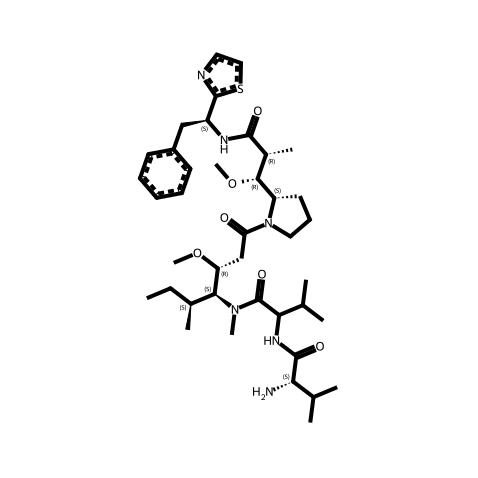 CC[C@H](C)[C@@H]([C@@H](CC(=O)N1CCC[C@H]1[C@H](OC)[C@@H](C)C(=O)N[C@@H](Cc1ccccc1)c1nccs1)OC)N(C)C(=O)C(NC(=O)[C@@H](N)C(C)C)C(C)C